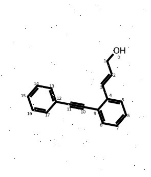 OCC=Cc1ccccc1C#Cc1ccccc1